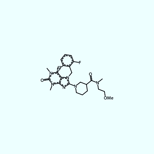 COCCN(C)C(=O)C1CCCN(c2nc3c(c(=O)n(C)c(=O)n3C)n2Cc2c(F)cccc2Cl)C1